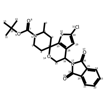 CC1CC2(CCN1C(=O)OC(C)(C)C)OCC(N1C(=O)c3ccccc3C1=O)c1cc(Cl)sc12